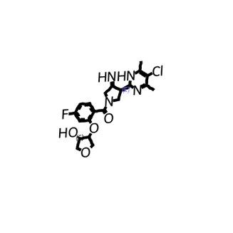 CC1=N/C(=C2\CN(C(=O)c3ccc(F)cc3OC3COC[C@@H]3O)CC2=N)NC(C)=C1Cl